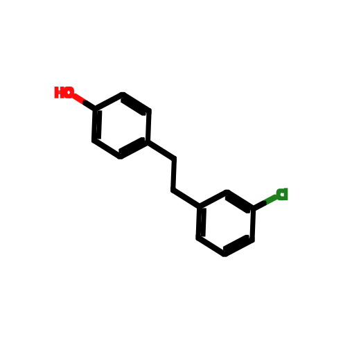 Oc1ccc(CCc2cccc(Cl)c2)cc1